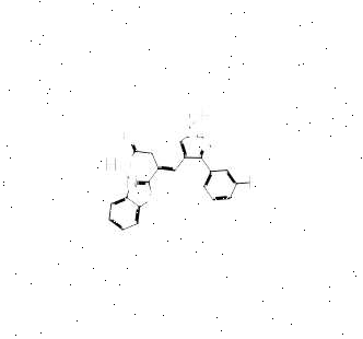 Cn1cc(/C=C(\CC(=O)O)c2nc3ccccc3s2)c(-c2cccc(F)c2)n1